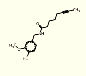 CC#CCCCCC(=O)NCc1ccc(O)c(OC)c1